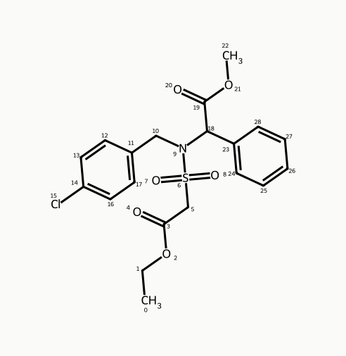 CCOC(=O)CS(=O)(=O)N(Cc1ccc(Cl)cc1)C(C(=O)OC)c1ccccc1